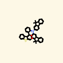 CC1(C)c2ccccc2-c2cc(N(c3ccc4c(c3)C(C)(C)c3ccccc3-4)c3ccccc3-c3cccc4sc5ccccc5c34)ccc21